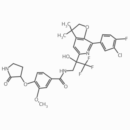 COc1cc(C(=O)NCC(O)(c2cc3c(c(-c4ccc(F)c(Cl)c4)n2)OCC3(C)C)C(F)(F)F)ccc1OC1CCNC1=O